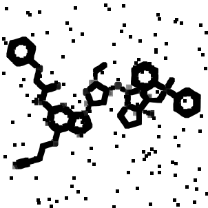 CC[C@H]1O[C@@H](n2cnc3c(OCCC#N)nc(NC(=O)COc4ccccc4)nc32)C[C@H]1O[P@]1O[C@@H](C[Si](C)(c2ccccc2)c2ccccc2)[C@H]2CCCN21